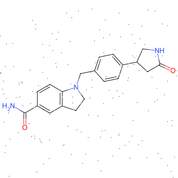 NC(=O)c1ccc2c(c1)CCN2Cc1ccc(C2CNC(=O)C2)cc1